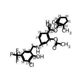 CC(=O)Oc1cc(NCc2cc(C(F)(F)F)cc(Cl)c2O)ccc1C(=O)OC1CC2CCC1(C)C2(C)C